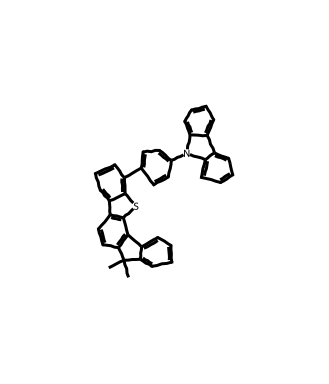 CC1(C)c2ccccc2-c2c1ccc1c2sc2c(-c3ccc(-n4c5ccccc5c5ccccc54)cc3)cccc21